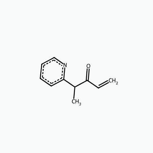 C=CC(=O)C(C)c1ccccn1